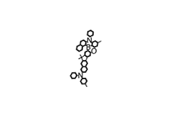 Cc1ccc(N(c2ccccc2)c2ccc3cc4c(cc3c2)C(C)(C)c2cc3c(cc2-4)Oc2cc(C)cc4c2B3c2c(ccc3ccccc23)N4c2ccccc2)cc1